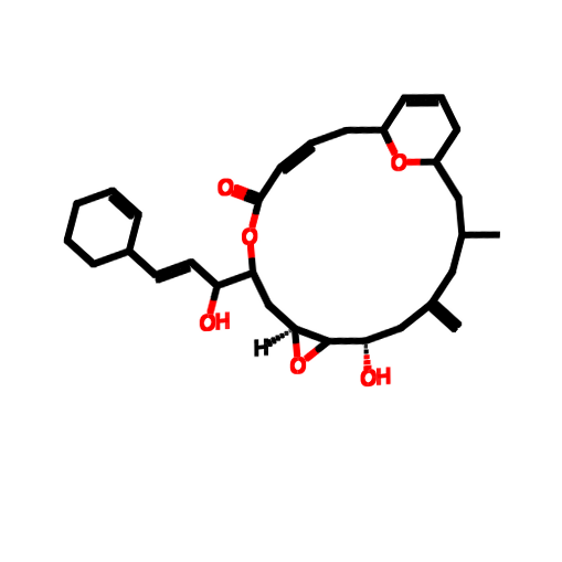 C=C1CC(C)CC2CC=CC(C/C=C\C(=O)OC(C(O)/C=C/C3C=CCCC3)C[C@@H]3OC3[C@@H](O)C1)O2